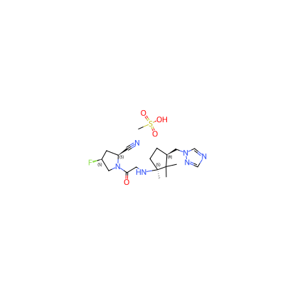 CC1(C)[C@H](Cn2cncn2)CC[C@]1(C)NCC(=O)N1C[C@@H](F)C[C@H]1C#N.CS(=O)(=O)O